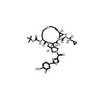 CC(C)(C)OC(=O)N[C@H]1CCCCC/C=C\[C@@H]2C[C@@]2(C(=O)NS(=O)(=O)C2CC2)NC(=O)[C@@H]2[C@H]3CN(C(=O)c4csc(-c5ccc(O)c(F)c5)n4)C[C@H]3CN2C1=O